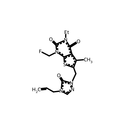 C=CCn1cnn(Cc2sc3c(c2C)c(=O)n(CC)c(=O)n3CF)c1=O